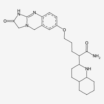 NC(=O)C(CCCOc1ccc2c(c1)CN1CC(=O)NC1=N2)C1CCC2CCCCC2N1